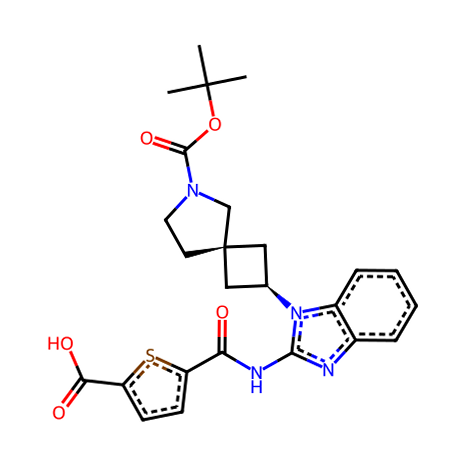 CC(C)(C)OC(=O)N1CC[C@]2(C1)C[C@H](n1c(NC(=O)c3ccc(C(=O)O)s3)nc3ccccc31)C2